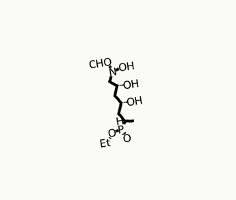 CCO[PH](=O)C(C)C[C@@H](O)C[C@@H](O)CN(O)C=O